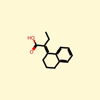 CC/C(C(=O)O)=C1/CCCc2ccccc21